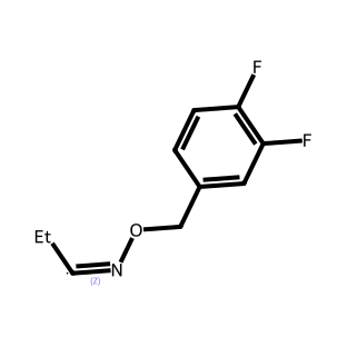 CC/[C]=N\OCc1ccc(F)c(F)c1